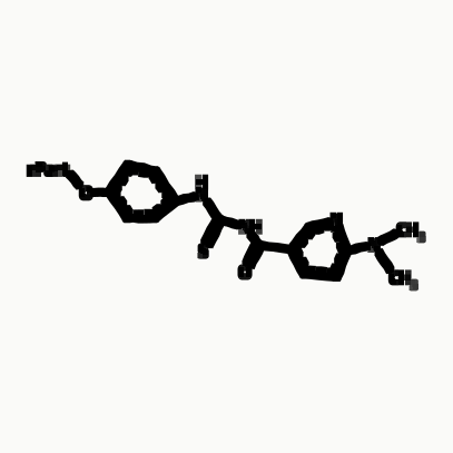 CCCCCOc1ccc(NC(=S)NC(=O)c2ccc(N(C)C)nc2)cc1